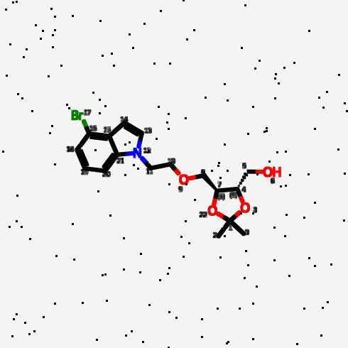 CC1(C)O[C@@H](CO)[C@H](COCCn2ccc3c(Br)cccc32)O1